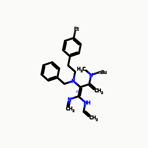 C=CN/C(N=C)=C(\C(=C)N(C)CCCC)N(CCc1ccc(CC)cc1)Cc1ccccc1